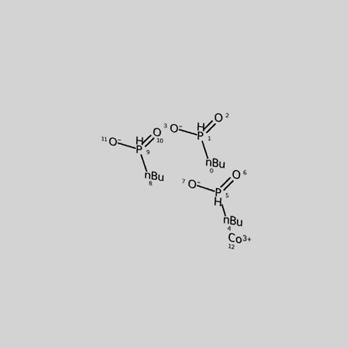 CCCC[PH](=O)[O-].CCCC[PH](=O)[O-].CCCC[PH](=O)[O-].[Co+3]